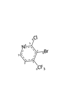 FC(F)(F)c1ccnc(Cl)c1Br